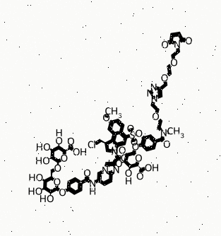 COc1ccc2c(S(=O)(=O)Oc3cc(C(=O)N(C)CCOCCn4cc(COCCOCCN5C(=O)C=CC5=O)nn4)ccc3OC3O[C@H](C(=O)O)[C@@H](O)[C@H](O)[C@H]3O)cc3c(c2c1)[C@H](CCl)CN3C(=O)c1cn2cc(NC(=O)c3ccc(OC4O[C@H](CO[C@@H]5O[C@H](C(=O)O)[C@@H](O)[C@H](O)[C@H]5O)[C@H](O)[C@H](O)[C@H]4O)cc3)ccc2n1